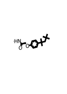 CC(C)(C)CC(C)(C)c1ccc(OCC([NH])=O)cc1